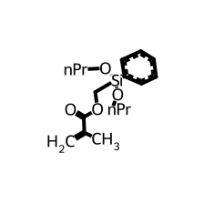 C=C(C)C(=O)OC[Si](OCCC)(OCCC)c1ccccc1